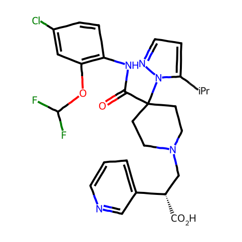 CC(C)c1ccnn1C1(C(=O)Nc2ccc(Cl)cc2OC(F)F)CCN(C[C@H](C(=O)O)c2cccnc2)CC1